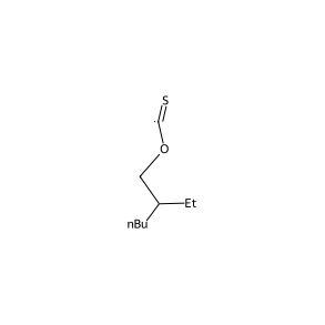 CCCCC(CC)CO[C]=S